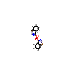 c1ccc2c(OOc3nsc4ccccc34)nsc2c1